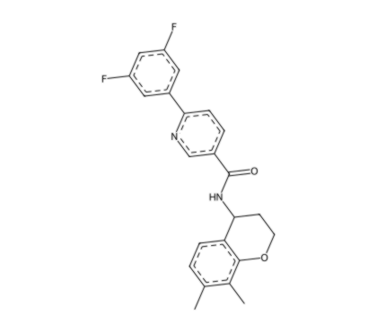 Cc1ccc2c(c1C)OCCC2NC(=O)c1ccc(-c2cc(F)cc(F)c2)nc1